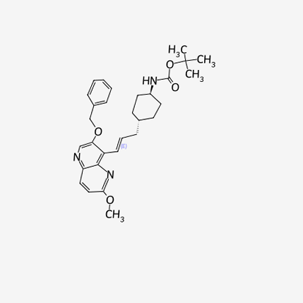 COc1ccc2ncc(OCc3ccccc3)c(/C=C/C[C@H]3CC[C@H](NC(=O)OC(C)(C)C)CC3)c2n1